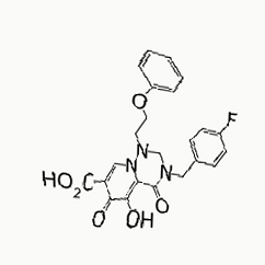 O=C(O)c1cn2c(c(O)c1=O)C(=O)N(Cc1ccc(F)cc1)CN2CCOc1ccccc1